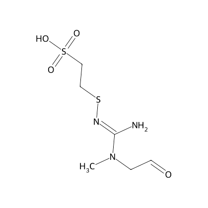 CN(CC=O)C(N)=NSCCS(=O)(=O)O